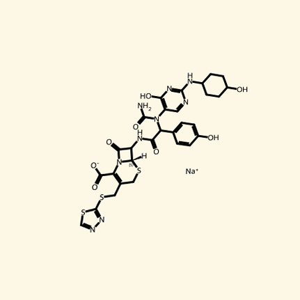 NC(=O)N(c1cnc(NC2CCC(O)CC2)nc1O)C(C(=O)NC1C(=O)N2C(C(=O)[O-])=C(CSc3nncs3)CS[C@@H]12)c1ccc(O)cc1.[Na+]